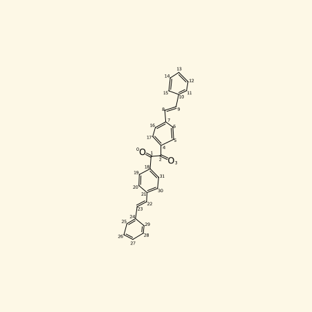 O=C(C(=O)c1ccc(C=Cc2ccccc2)cc1)c1ccc(C=Cc2ccccc2)cc1